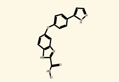 CCNC(=O)c1nc2cc(Oc3ccc(-c4ccn[nH]4)cc3)ccc2[nH]1